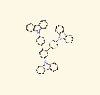 c1ccc2c(c1)c1ccccc1n2-c1ccc(-c2ccc(-n3c4ccccc4c4ccccc43)cc2-c2ccc(-n3c4ccccc4c4ccccc43)cc2)cc1